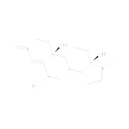 C=C1CC2C(CC[C@]3(C)C(=O)CCC23)[C@@]2(C)CCC(=O)C=C12